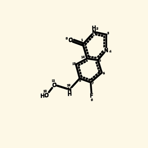 O=c1[nH]cnc2cc(F)c(NOO)cc12